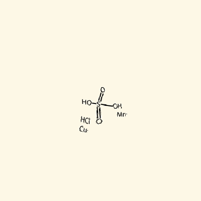 Cl.O=S(=O)(O)O.[Cu].[Mn]